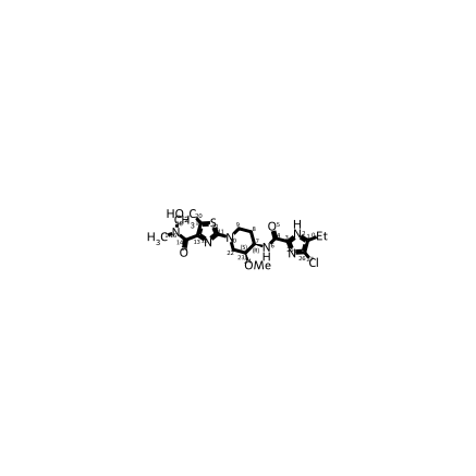 CCc1[nH]c(C(=O)N[C@@H]2CCN(c3nc(C(=O)N(C)C)c(C(=O)O)s3)C[C@@H]2OC)nc1Cl